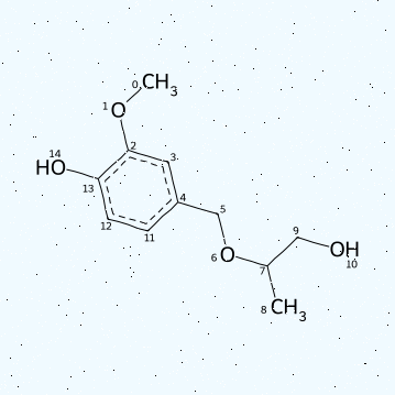 COc1cc(COC(C)CO)ccc1O